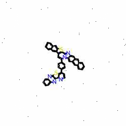 c1ccc2cc3cc4c(cc3cc2c1)nc1c2sc3cc5ccccc5cc3c2cc(-c2ccc(-c3ccnc5c3sc3nc6ccccc6nc35)cc2)n41